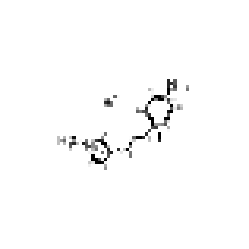 Cn1cc[n+](CCNc2ccc(N)cc2)c1.[Br-]